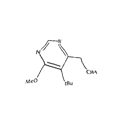 COc1ncnc(CO)c1C(C)(C)C